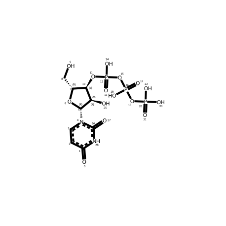 O=c1ccn([C@@H]2O[C@H](CO)[C@@H](OP(=O)(O)OP(=O)(O)OP(=O)(O)O)[C@H]2O)c(=O)[nH]1